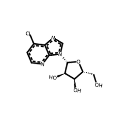 OC[C@H]1O[C@@H](n2cnc3c(Cl)ccnc32)[C@H](O)[C@@H]1O